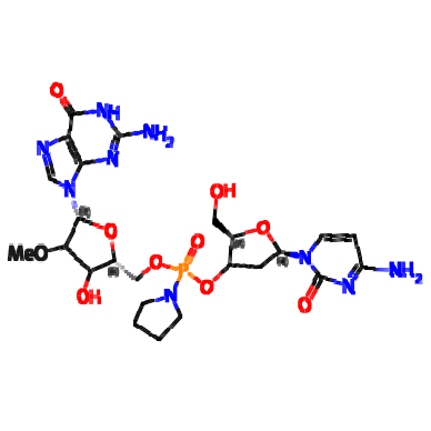 COC1C(O)[C@@H](COP(=O)(OC2C[C@H](n3ccc(N)nc3=O)O[C@@H]2CO)N2CCCC2)O[C@H]1n1cnc2c(=O)[nH]c(N)nc21